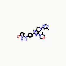 Cc1cc(N2CCc3nc(-c4ccc(Nc5cccc(=O)[nH]5)cc4)nc(N4CCOCC4C)c3C2)ncn1